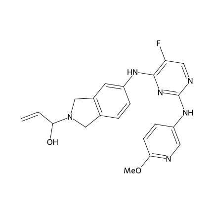 C=CC(O)N1Cc2ccc(Nc3nc(Nc4ccc(OC)nc4)ncc3F)cc2C1